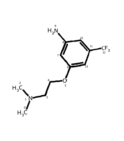 CN(C)CCOc1cc(N)cc(C(F)(F)F)c1